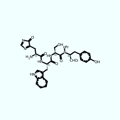 CCCN(C(=O)[C@H](CO)NC(=O)[C@H](Cc1c[nH]c2ccccc12)NC(=O)[C@@H](N)CC1=NC=NC1=O)[C@H]([C]=O)Cc1ccc(O)cc1